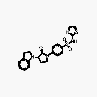 O=C1[C@@H](N2CCc3ccccc32)CCN1c1ccc(S(=O)(=O)Nc2nccs2)cc1